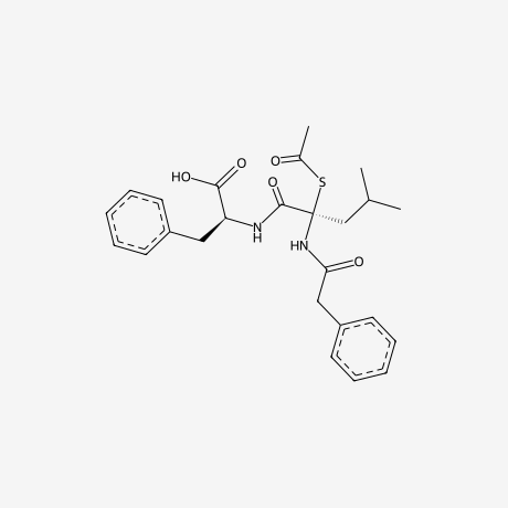 CC(=O)S[C@@](CC(C)C)(NC(=O)Cc1ccccc1)C(=O)N[C@@H](Cc1ccccc1)C(=O)O